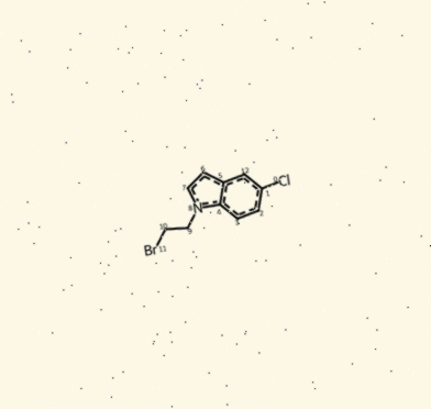 Clc1ccc2c(ccn2CCBr)c1